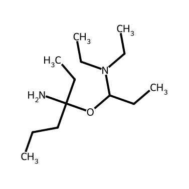 CCCC(N)(CC)OC(CC)N(CC)CC